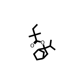 CCC(C)(C)C(=O)OC1(C(C)C)CC2CCC1C2